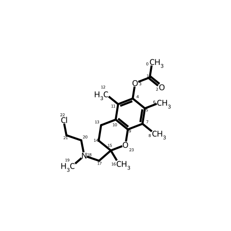 CC(=O)Oc1c(C)c(C)c2c(c1C)CCC(C)(CN(C)CCCl)O2